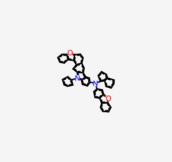 c1ccc(-n2c3ccc(N(c4ccc5c(c4)oc4ccccc45)c4cccc5ccccc45)cc3c3cc4ccc5oc6ccccc6c5c4cc32)cc1